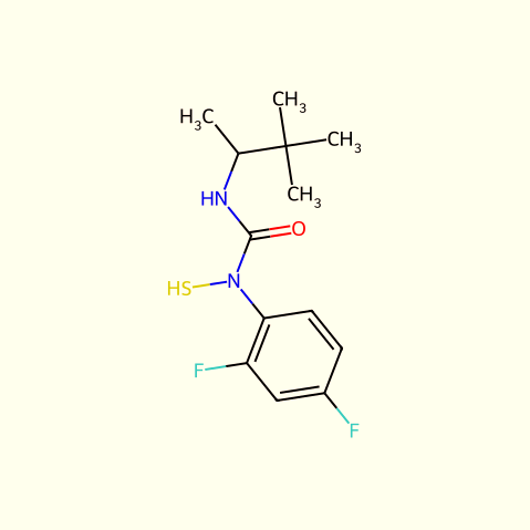 CC(NC(=O)N(S)c1ccc(F)cc1F)C(C)(C)C